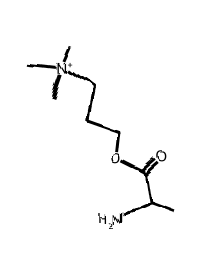 CC(N)C(=O)OCCC[N+](C)(C)C